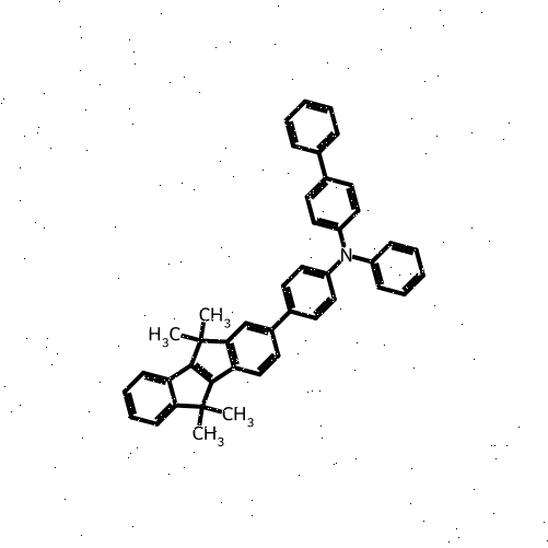 CC1(C)C2=C(c3ccccc31)C(C)(C)c1cc(-c3ccc(N(c4ccccc4)c4ccc(-c5ccccc5)cc4)cc3)ccc12